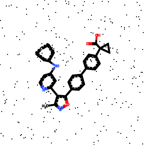 Cc1noc(-c2ccc(-c3ccc(C4(C(=O)O)CC4)cc3)cc2)c1-c1cc(Nc2ccccc2)ccn1